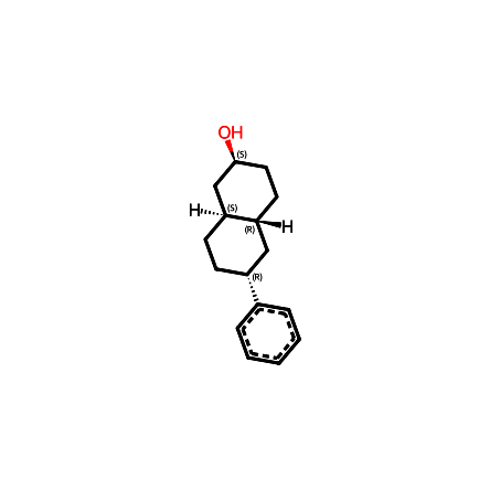 O[C@H]1CC[C@@H]2C[C@H](c3ccccc3)CC[C@H]2C1